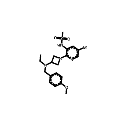 CCN(Cc1ccc(OC)cc1)C1CN(c2ncc(Br)cc2NS(C)(=O)=O)C1